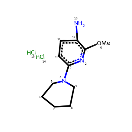 COc1nc(N2CCCCC2)ccc1N.Cl.Cl